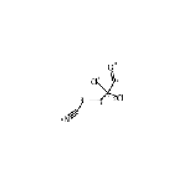 N#CCCC(Cl)(Cl)C=O